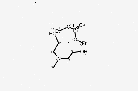 CCO[PH](=O)OCC.CN(CCO)CCO